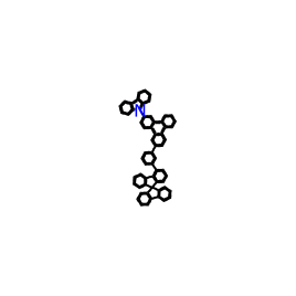 c1cc(-c2ccc3c4ccccc4c4cc(-n5c6ccccc6c6ccccc65)ccc4c3c2)cc(-c2cccc3c2-c2ccccc2C32c3ccccc3-c3ccccc32)c1